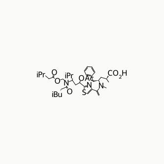 C=C(c1csc([C@@H](C[C@H](C(C)C)N(COC(=O)CC(C)C)C(=O)C[C@@H](C)CC)OC(C)=O)n1)N(C)[C@@H](Cc1ccccc1)C[C@H](C)C(=O)O